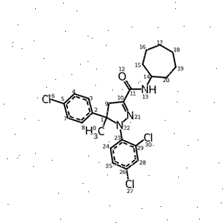 CC1(c2ccc(Cl)cc2)CC(C(=O)NC2CCCCCC2)=NN1c1ccc(Cl)cc1Cl